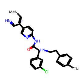 CN/C=C(\C=N)c1ccc(NC(=O)C(NCCc2ccc(C#N)cc2)c2cccc(Cl)c2)nc1